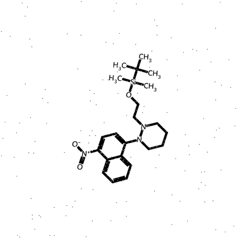 CC(C)(C)[Si](C)(C)OCCN1CCCCN1c1ccc([N+](=O)[O-])c2ccccc12